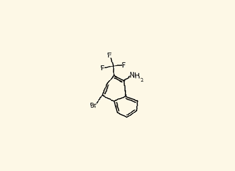 Nc1c(C(F)(F)F)cc(Br)c2ccccc12